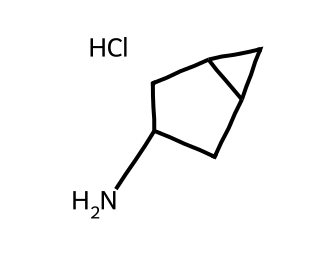 Cl.NC1CC2CC2C1